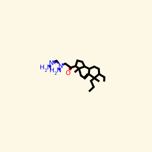 CCCC1(C)C2=CCC3(C)C(C(=O)CN(N)/C=N\N)CCC3C2CCC1CC